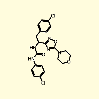 O=C(Nc1ccc(Cl)cc1)NC(Cc1ccc(Cl)cc1)c1noc(N2CCOCC2)n1